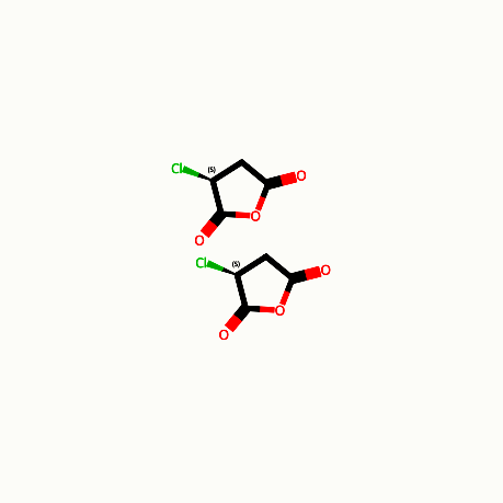 O=C1C[C@H](Cl)C(=O)O1.O=C1C[C@H](Cl)C(=O)O1